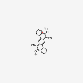 [2H]OC(=O)/C(C#N)=c1/cc(-c2ccccc2)/c(=C(/[N+]#[C-])C(=O)O[2H])cc1-c1ccccc1